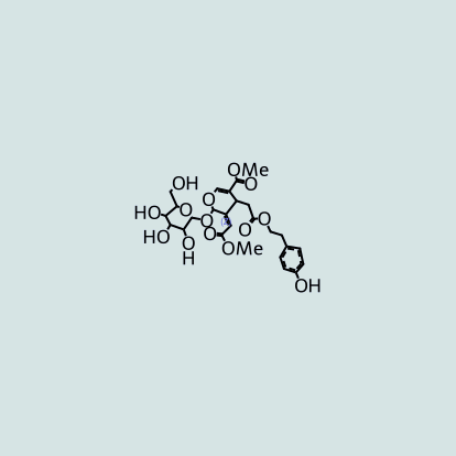 COC(=O)/C=C1\C(OC2OC(CO)C(O)C(O)C2O)OC=C(C(=O)OC)C1CC(=O)OCCc1ccc(O)cc1